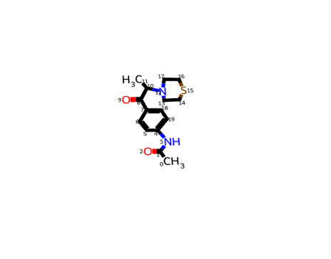 CC(=O)Nc1ccc(C(=O)C(C)N2CCSCC2)cc1